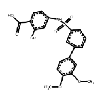 COc1ccc(-c2cccc(S(=O)(=O)Nc3ccc(C(=O)O)c(O)c3)c2)cc1OC